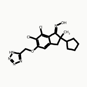 CC1(C2CCCC2)Cc2cc(OCc3nnn[nH]3)c(Cl)c(Cl)c2C1=NO